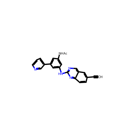 C#Cc1ccc2nc(Nc3cc(NC(C)=O)cc(-c4cccnc4)c3)ncc2c1